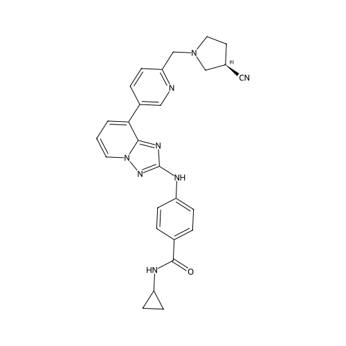 N#C[C@@H]1CCN(Cc2ccc(-c3cccn4nc(Nc5ccc(C(=O)NC6CC6)cc5)nc34)cn2)C1